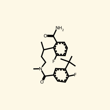 CC(CCN(C)C(=O)c1ccc(F)c(C(C)(C)C)c1)c1c(F)cccc1C(N)=O